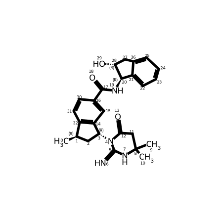 C[C@@H]1C[C@@H](N2C(=N)NC(C)(C)CC2=O)c2cc(C(=O)N[C@@H]3c4ccccc4C[C@H]3O)ccc21